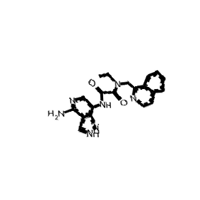 CCN(Cc1nccc2ccccc12)C(=O)C(=O)Nc1cnc(N)c2c[nH]nc12